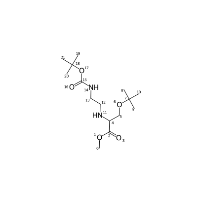 COC(=O)C(COC(C)(C)C)NCCNC(=O)OC(C)(C)C